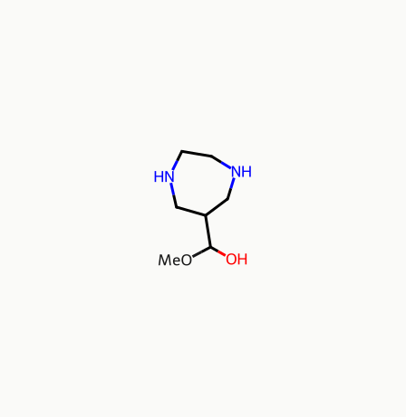 COC(O)C1CNCCNC1